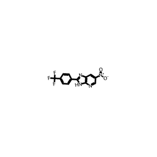 O=[N+]([O-])c1cnc2[nH]c(-c3ccc(C(F)(F)F)cc3)nc2c1